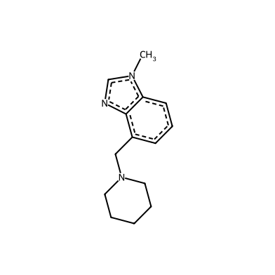 Cn1cnc2c(CN3CCCCC3)cccc21